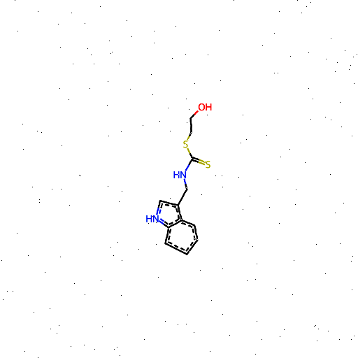 OCCSC(=S)NCc1c[nH]c2ccccc12